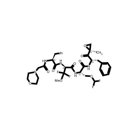 COC(F)(F)[C@@H](NC(=O)[C@H](CC(C)C)NC(=O)CN1CCOCC1)C(=O)N[C@@H](COC(F)F)C(=O)N[C@@H](Cc1ccccc1)C(=O)[C@]1(C)CO1